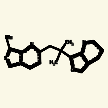 CC(C)(C)c1scc2ccc(CC(C)(C)c3occ4cccnc34)nc12